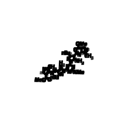 CCCCc1nn(-c2nc(NC)nc(-n3nc(CCCC)c(/N=N/c4c(C(=O)OC)cnn4C)c3N)n2)c(N)c1/N=N/c1c(C(=O)OC)cnn1C